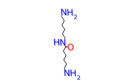 NCCCCCCNC(=O)CCCCCN